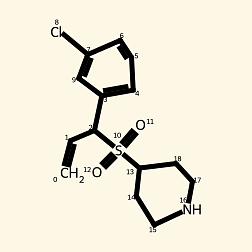 C=CC(c1cccc(Cl)c1)S(=O)(=O)C1CCNCC1